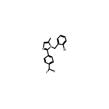 Cc1cnc(-c2ccc(C(F)F)cc2)n1Cc1ccccc1Br